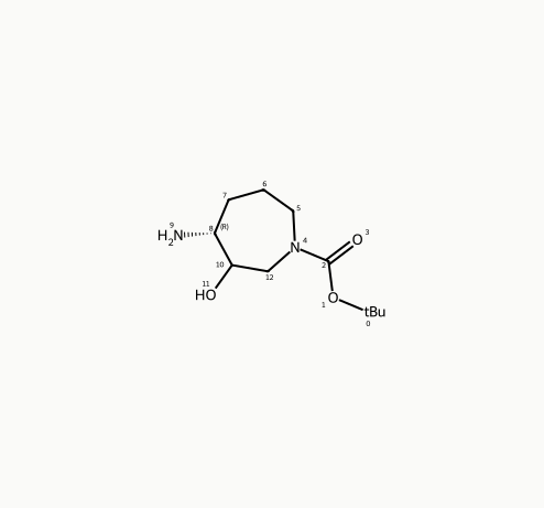 CC(C)(C)OC(=O)N1CCC[C@@H](N)C(O)C1